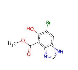 COC(=O)c1c(O)c(Br)cc2[nH]cnc12